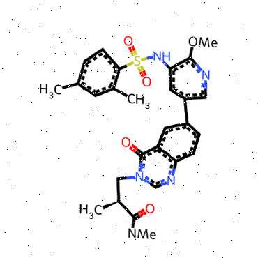 CNC(=O)[C@@H](C)Cn1cnc2ccc(-c3cnc(OC)c(NS(=O)(=O)c4ccc(C)cc4C)c3)cc2c1=O